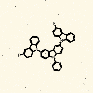 FC1=Cc2c(n(-c3ccc4c(c3)C3C=C(n5c6ccccc6c6cc(F)ccc65)C=CC3N4c3ccccc3)c3ccccc23)CC1